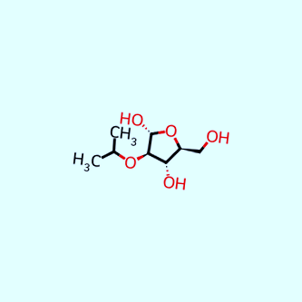 CC(C)O[C@@H]1[C@@H](O)[C@H](CO)O[C@H]1O